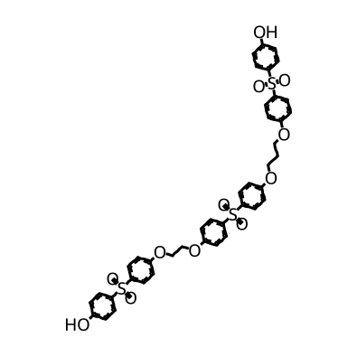 O=S(=O)(c1ccc(O)cc1)c1ccc(OCCCOc2ccc(S(=O)(=O)c3ccc(OCCOc4ccc(S(=O)(=O)c5ccc(O)cc5)cc4)cc3)cc2)cc1